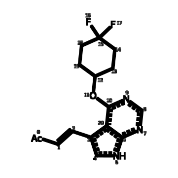 CC(=O)/C=C/c1c[nH]c2ncnc(OC3CCC(F)(F)CC3)c12